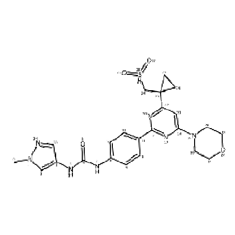 Cn1cc(NC(=O)Nc2ccc(-c3nc(N4CCOCC4)cc(C4(C[SH](=O)=O)CC4)n3)cc2)cn1